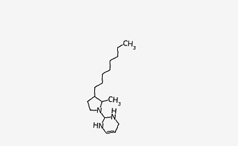 CCCCCCCCC1CCN(C2NC=CCN2)C1C